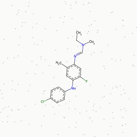 CCN(C)C=Nc1cc(F)c(Nc2ccc(Cl)cc2)cc1C